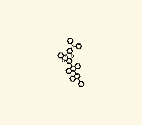 c1ccc(-c2ccc(-c3c4ccccc4c(-c4cc5c6c(c4)Oc4cc(N(c7ccccc7)c7ccccc7)ccc4B6c4ccccc4O5)c4ccccc34)c3ccccc23)cc1